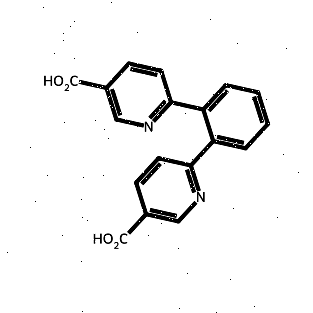 O=C(O)c1ccc(-c2ccccc2-c2ccc(C(=O)O)cn2)nc1